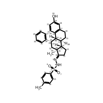 Cc1ccc(S(=O)(=O)NN=C2CC[C@H]3[C@@H]4CCc5cc(O)ccc5[C@H]4[C@@H](c4ccccc4)C[C@]23C)cc1